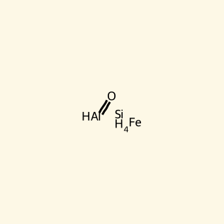 [Fe].[O]=[AlH].[SiH4]